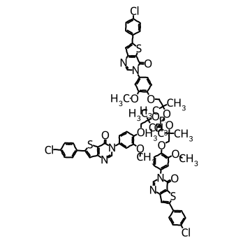 COc1cc(-n2cnc3cc(-c4ccc(Cl)cc4)sc3c2=O)ccc1OCC(C)(C)OP(=O)(OC(C)(C)COc1ccc(-n2cnc3cc(-c4ccc(Cl)cc4)sc3c2=O)cc1OC)OC(C)(C)COc1ccc(-n2cnc3cc(-c4ccc(Cl)cc4)sc3c2=O)cc1OC